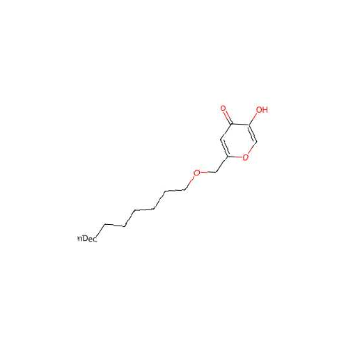 CCCCCCCCCCCCCCCCOCc1cc(=O)c(O)co1